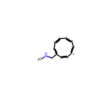 CC(C)NCc1ccccccccc1